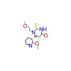 COCCN1C(=S)NC(=O)C[C@@H]1c1cccnc1OC